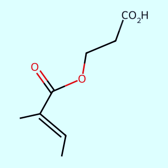 CC=C(C)C(=O)OCCC(=O)O